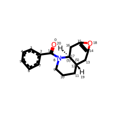 O=C(c1ccccc1)N1CCC[C@H]2CC3=C(C[C@@H]21)O3